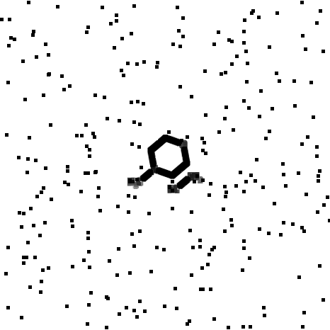 BC#N.CN1CCOCC1